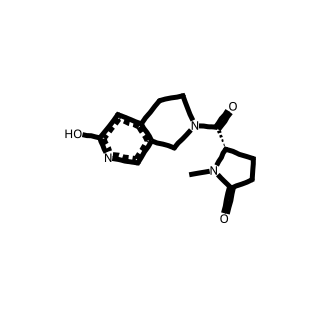 CN1C(=O)CC[C@H]1C(=O)N1CCc2cc(O)ncc2C1